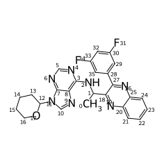 CC(Nc1ncnc2c1ncn2C1CCCCO1)c1nc2ccccc2nc1-c1cc(F)cc(F)c1